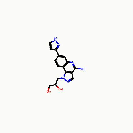 Nc1nc2cc(-c3cc[nH]n3)ccc2c2c1cnn2CC(O)CO